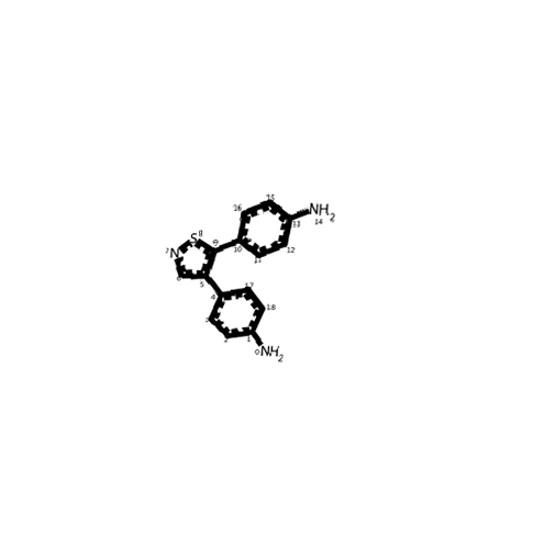 Nc1ccc(-c2cnsc2-c2ccc(N)cc2)cc1